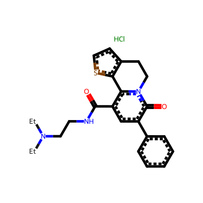 CCN(CC)CCNC(=O)c1cc(-c2ccccc2)c(=O)n2c1-c1sccc1CC2.Cl